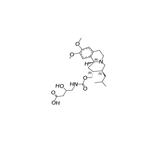 COc1cc2c(cc1OC)[C@H]1C[C@@H](COC(=O)NCC(O)CC(=O)O)[C@H](CC(C)C)CN1CC2